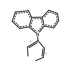 C/C=C\C(=C/C)n1c2ccccc2c2ccccc21